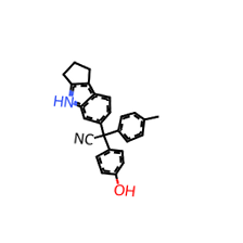 Cc1ccc(C(C#N)(c2ccc(O)cc2)c2ccc3c4c([nH]c3c2)CCC4)cc1